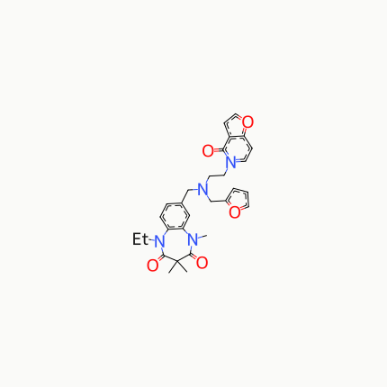 CCN1C(=O)C(C)(C)C(=O)N(C)c2cc(CN(CCn3ccc4occc4c3=O)Cc3ccco3)ccc21